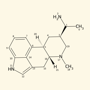 CC(N)[C@@H]1C[C@@H]2c3cccc4[nH]cc(c34)C[C@H]2N(C)C1